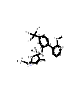 COc1ncccc1-c1ccc(C(F)(F)F)cc1O[C@]1(N)N/C(=N\N)C=C1C